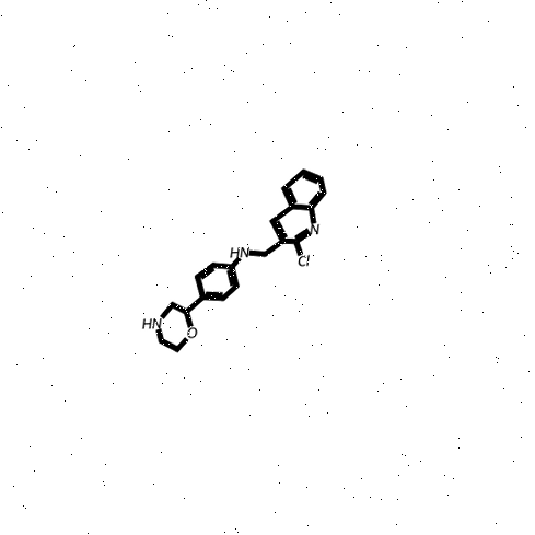 Clc1nc2ccccc2cc1CNc1ccc(C2CNCCO2)cc1